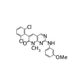 COc1cccc(Nc2ncc3cc(-c4c(Cl)cccc4Cl)c(=O)n(C)c3n2)c1